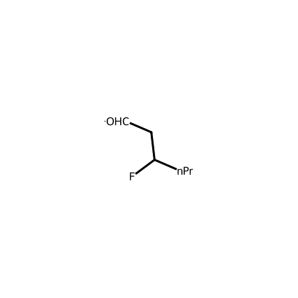 CCCC(F)C[C]=O